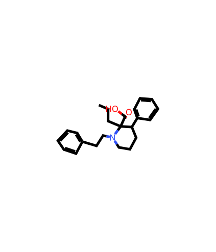 CCCC1(C(=O)O)C(c2ccccc2)CCCN1CCc1ccccc1